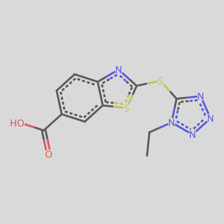 CCn1nnnc1Sc1nc2ccc(C(=O)O)cc2s1